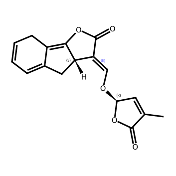 CC1=C[C@H](O/C=C2/C(=O)OC3=C4CC=CC=C4C[C@H]32)OC1=O